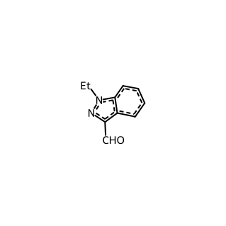 CCn1nc(C=O)c2ccccc21